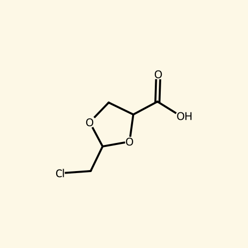 O=C(O)C1COC(CCl)O1